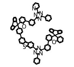 c1ccc(-c2nc(-c3cccc(-c4cccc5c4Oc4ccccc4C54c5ccccc5-c5ccccc54)c3)nc(-c3ccc4c(c3)sc3ccc(-c5ccc6c(c5)Oc5c(-c7cccc(-c8nc(-c9ccccc9)nc(-c9ccccn9)n8)c7)cccc5C65c6ccccc6-c6ccccc65)cc34)n2)cc1